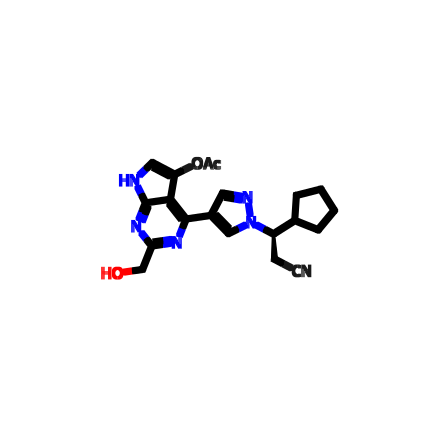 CC(=O)Oc1c[nH]c2nc(CO)nc(-c3cnn([C@H](CC#N)C4CCCC4)c3)c12